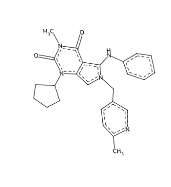 Cc1ccc(Cn2cc3c(c2Nc2ccccc2)c(=O)n(C)c(=O)n3C2CCCC2)cn1